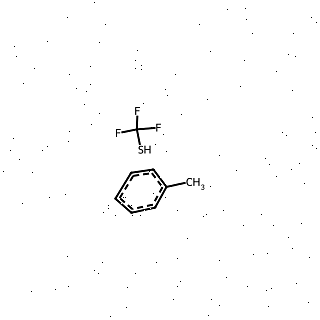 Cc1ccccc1.FC(F)(F)S